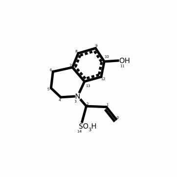 C=CC(N1CCCc2ccc(O)cc21)S(=O)(=O)O